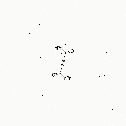 CCCC(=O)C#CC(=O)CCC